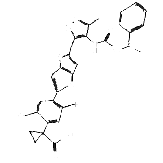 Cc1nsc(-c2cc3sc(-c4cc(Cl)c(C5(C(=O)O)CC5)cc4F)cc3s2)c1NC(=O)O[C@H](C)c1ccccc1